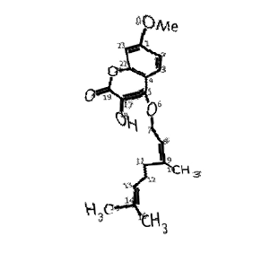 COc1ccc2c(OCC=C(C)CCC=C(C)C)c(O)c(=O)oc2c1